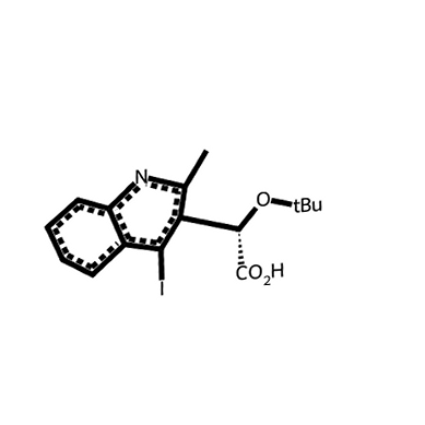 Cc1nc2ccccc2c(I)c1[C@H](OC(C)(C)C)C(=O)O